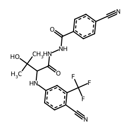 CC(C)(O)C(Nc1ccc(C#N)c(C(F)(F)F)c1)C(=O)NNC(=O)c1ccc(C#N)cc1